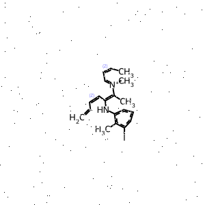 C=C/C=C\C(Nc1cccc(I)c1C)=C(C)[N+](C)=C/C=C\C